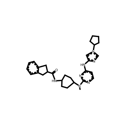 CN(c1nccc(Nc2cn(C3CCCC3)cn2)n1)C1CCC(NC(=O)C2Cc3ccccc3C2)CC1